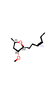 CC/C=C\CC[C@@H]1O[C@H](C)C[C@H]1OC